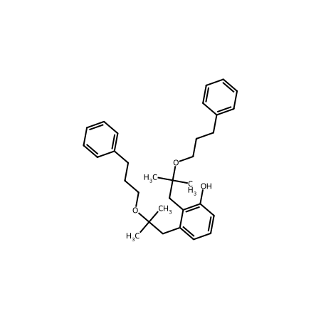 CC(C)(Cc1cccc(O)c1CC(C)(C)OCCCc1ccccc1)OCCCc1ccccc1